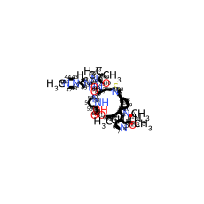 CCn1c(-c2cccnc2[C@H](C)OC)c2c3cc(ccc31)-c1csc(n1)C[C@H](NC(=O)[C@H](C(C)C)N(C)C(=O)N1CC(N3CCN(C)CC3)C1)C(=O)N1CCC[C@@](O)(N1)C(=O)OCC(C)(C)C2